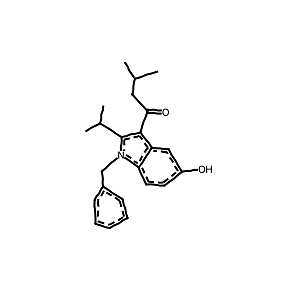 CC(C)CC(=O)c1c(C(C)C)n(Cc2ccccc2)c2ccc(O)cc12